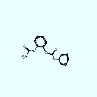 NC(=O)Oc1ccccc1OC(=O)Nc1ccccc1